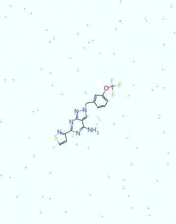 Nc1nc(-c2ccsn2)nc2nn(Cc3cccc(OC(F)(F)F)c3)cc12